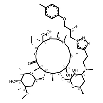 CC[C@H]1OC(=O)[C@H](C)[C@@H](O[C@H]2C[C@@](C)(OC)[C@@H](O)[C@H](C)O2)[C@H](C)[C@@H](O[C@@H]2O[C@H](C)C[C@H](N(C)CCc3cn(C[C@@H](F)COc4ccc(C)cc4)nn3)[C@H]2O)[C@](C)(O)C[C@@H](C)CN(C)[C@H](C)[C@@H](O)[C@]1(C)O